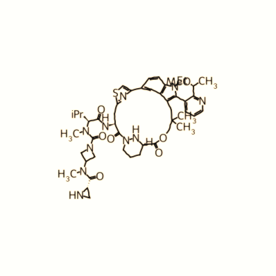 CCn1c(-c2cccnc2[C@H](C)OC)c2c3cc(ccc31)-c1csc(n1)C[C@H](NC(=O)[C@H](C(C)C)N(C)C(=O)N1CC(N(C)C(=O)[C@@H]3CN3)C1)C(=O)N1CCC[C@H](N1)C(=O)OCC(C)(C)C2